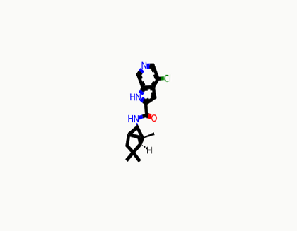 C[C@@H]1[C@@H](NC(=O)c2cc3c(Cl)cncc3[nH]2)C2C[C@@H]1C(C)(C)C2